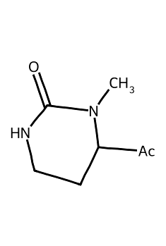 CC(=O)C1CCNC(=O)N1C